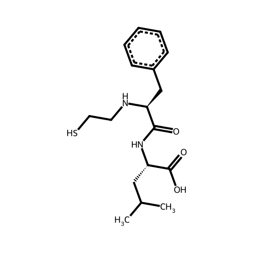 CC(C)C[C@H](NC(=O)[C@H](Cc1ccccc1)NCCS)C(=O)O